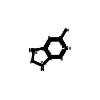 Cc1cc2c(cn1)NCN2